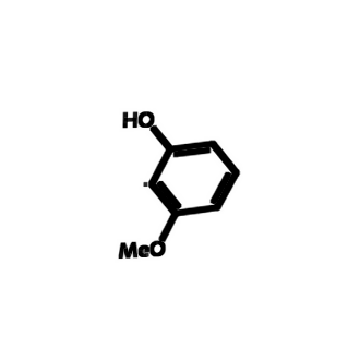 COc1[c]c(O)ccc1